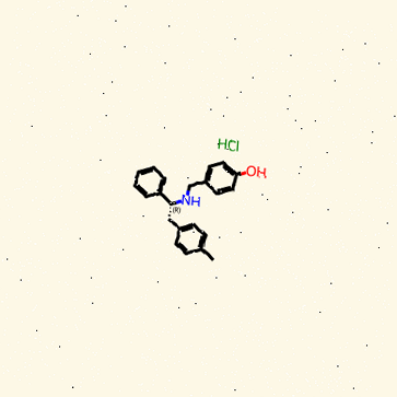 Cc1ccc(C[C@@H](NCc2ccc(O)cc2)c2ccccc2)cc1.Cl